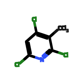 Clc1cc(Cl)c(C(Cl)(Cl)Cl)c(Cl)n1